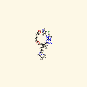 Fc1cnc2nc1-c1ccnc(c1)OCC/C=C/COCc1cc(ccc1CCCN1CCCC1)N2